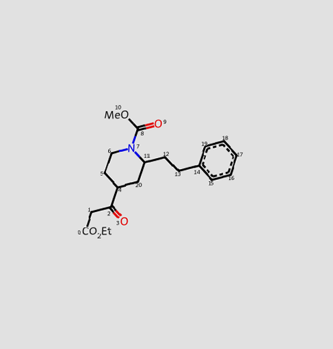 CCOC(=O)CC(=O)C1CCN(C(=O)OC)C(CCc2ccccc2)C1